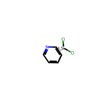 Cl[SiH2]Cl.c1ccncc1